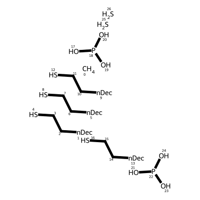 C.CCCCCCCCCCCCS.CCCCCCCCCCCCS.CCCCCCCCCCCCS.CCCCCCCCCCCCS.OP(O)O.OP(O)O.S.S